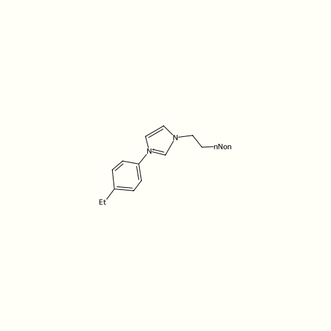 CCCCCCCCCCCn1cc[n+](-c2ccc(CC)cc2)c1